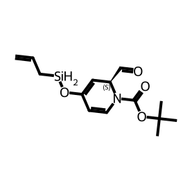 C=CC[SiH2]OC1=C[C@@H](C=O)N(C(=O)OC(C)(C)C)C=C1